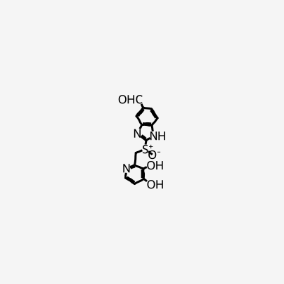 O=Cc1ccc2[nH]c([S+]([O-])Cc3nccc(O)c3O)nc2c1